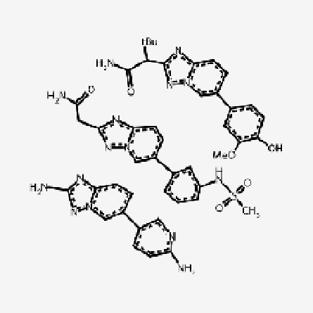 COc1cc(-c2ccc3nc(C(C(N)=O)C(C)(C)C)nn3c2)ccc1O.CS(=O)(=O)Nc1cccc(-c2ccc3nc(CC(N)=O)nn3c2)c1.Nc1ccc(-c2ccc3nc(N)nn3c2)cn1